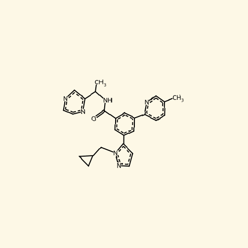 Cc1ccc(-c2cc(C(=O)NC(C)c3cnccn3)cc(-c3ccnn3CC3CC3)c2)nc1